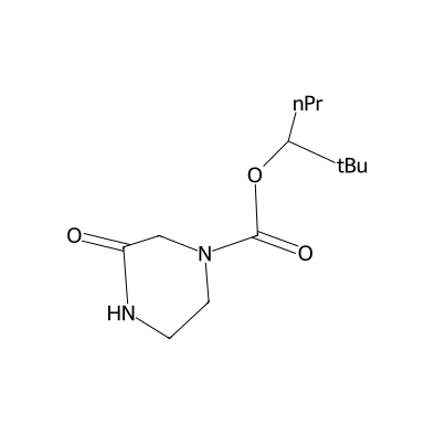 CCCC(OC(=O)N1CCNC(=O)C1)C(C)(C)C